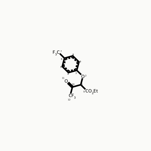 CCOC(=O)C(Oc1ccc(C(F)(F)F)cc1)C(=O)C(F)(F)F